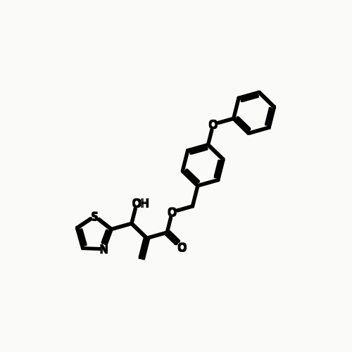 C=C(C(=O)OCc1ccc(Oc2ccccc2)cc1)C(O)c1nccs1